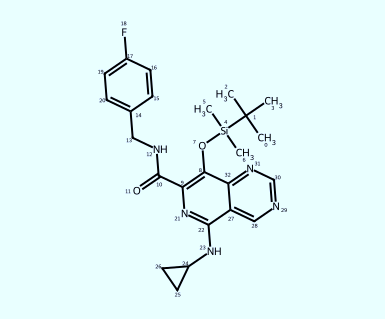 CC(C)(C)[Si](C)(C)Oc1c(C(=O)NCc2ccc(F)cc2)nc(NC2CC2)c2cncnc12